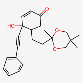 CC1(C)COC(C)(CCC2CC(=O)C=CC2(O)C#Cc2ccccc2)OC1